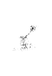 CC(=O)OCC1OC(Oc2ccc(C(F)C(=O)NCCCCCCNC(=O)OC(C)(C)C)cc2)C(OC(C)=O)C(OC(C)=O)C1OC(C)=O